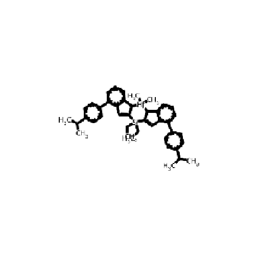 CC[Si]1(CC)C2=Cc3c(-c4ccc(C(C)C)cc4)cccc3[CH]2[Hf]([CH3])([CH3])[CH]2C1=Cc1c(-c3ccc(C(C)C)cc3)cccc12